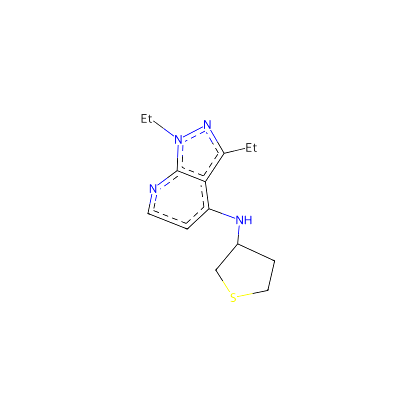 CCc1nn(CC)c2nccc(NC3CCSC3)c12